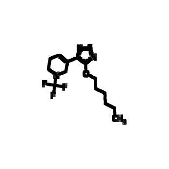 CCCCCCOc1nsnc1C1=CCCN(C(F)(F)F)C1